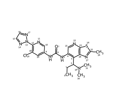 CCC(c1c(NC(=O)Nc2cnc(-n3nccn3)c(Cl)c2)cnc2sc(C)nc12)N(C)C